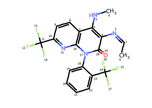 C/C=N\c1c(NC)c2ccc(C(F)(F)F)nc2n(-c2ccccc2C(F)(F)F)c1=O